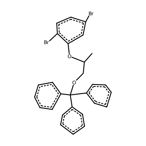 CC(COC(c1ccccc1)(c1ccccc1)c1ccccc1)Oc1cc(Br)ccc1Br